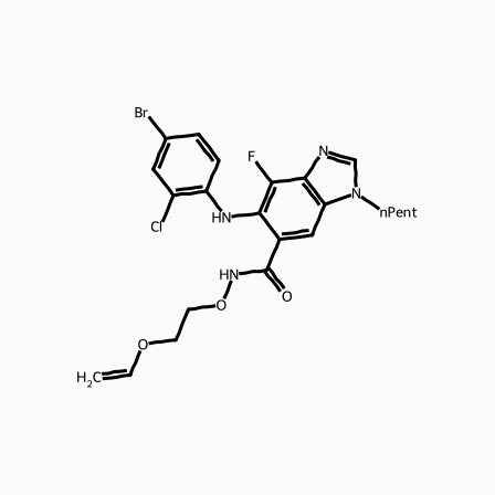 C=COCCONC(=O)c1cc2c(ncn2CCCCC)c(F)c1Nc1ccc(Br)cc1Cl